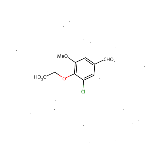 COc1cc(C=O)cc(Cl)c1OCC(=O)O